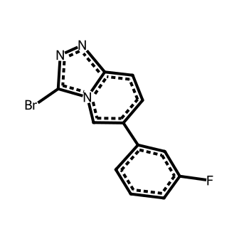 Fc1cccc(-c2ccc3nnc(Br)n3c2)c1